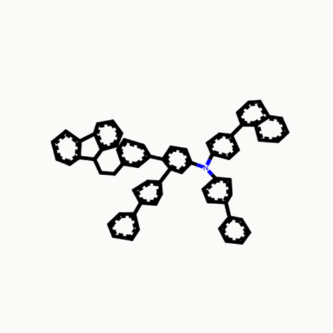 c1ccc(-c2ccc(-c3cc(N(c4ccc(-c5ccccc5)cc4)c4ccc(-c5cccc6ccccc56)cc4)ccc3-c3cccc(CCC4c5ccccc5-c5ccccc54)c3)cc2)cc1